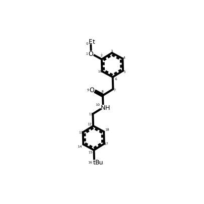 CCOc1cccc(CC(=O)NCc2ccc(C(C)(C)C)cc2)c1